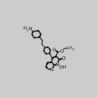 CCOC(=O)c1c(-c2ccc(CCc3ccc(N)cc3)cc2)c2cccnc2n(O)c1=O